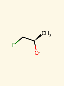 C[C@@H]([O])CF